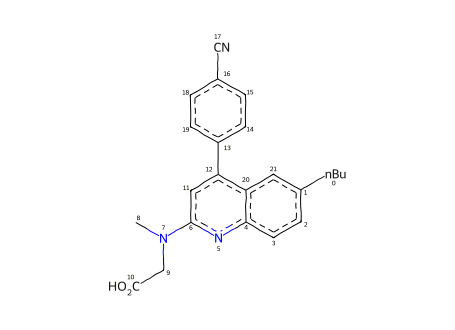 CCCCc1ccc2nc(N(C)CC(=O)O)cc(-c3ccc(C#N)cc3)c2c1